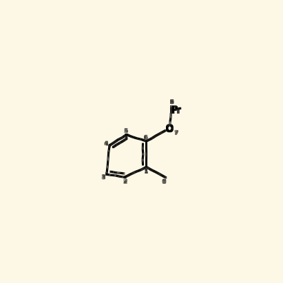 Cc1ccc[c]c1OC(C)C